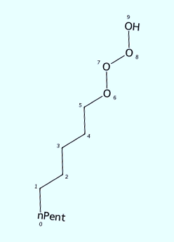 CC[CH]CCCCCCCOOOO